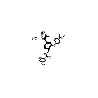 COC(=O)C1CCC(Oc2cc(-c3scnc3C)ccc2CNC(=O)[C@@H]2C[C@@H](O)CN2)CC1.Cl